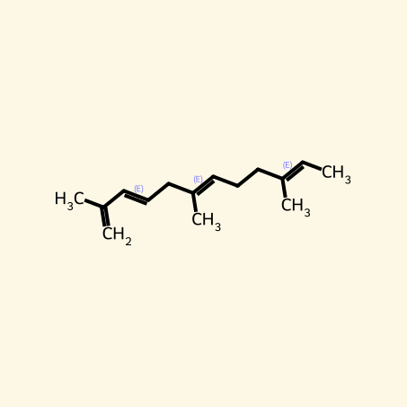 C=C(C)/C=C/C/C(C)=C/CC/C(C)=C/C